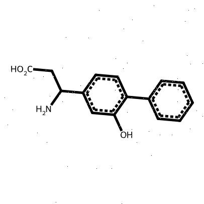 NC(CC(=O)O)c1ccc(-c2ccccc2)c(O)c1